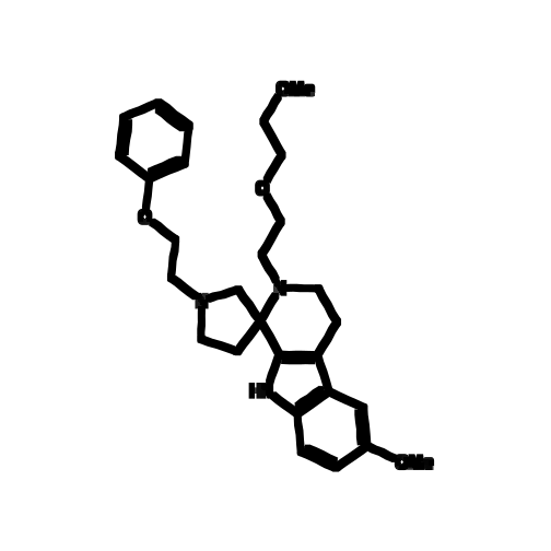 COCCOCCN1CCc2c([nH]c3ccc(OC)cc23)C12CCN(CCOc1ccccc1)C2